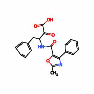 Cc1nc(-c2ccccc2)c(C(=O)NC(Cc2ccccc2)C(=O)C(=O)O)o1